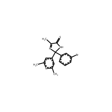 CC1=NC(c2cccc(Br)c2)(c2cc(C)nc(C)c2)NC1=S